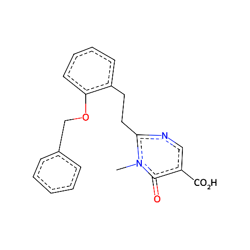 Cn1c(CCc2ccccc2OCc2ccccc2)ncc(C(=O)O)c1=O